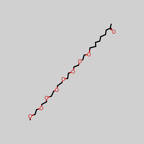 COCCOCCOCCOCCOCCOCCOCCOCCCCCCCC(C)=O